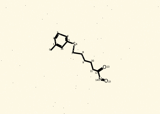 Cc1cccc(SCCCCCC(=O)N=O)c1